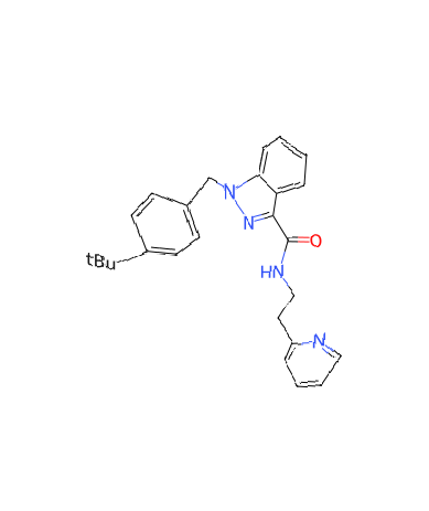 CC(C)(C)c1ccc(Cn2nc(C(=O)NCCc3ccccn3)c3ccccc32)cc1